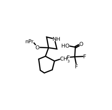 CCCOC1(C2CCCCC2C)CNC1.O=C(O)C(F)(F)F